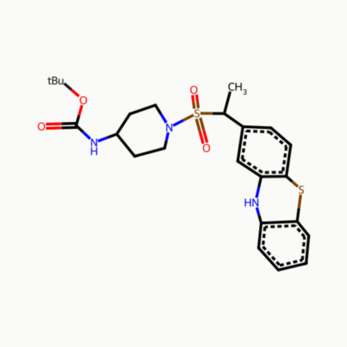 CC(c1ccc2c(c1)Nc1ccccc1S2)S(=O)(=O)N1CCC(NC(=O)OC(C)(C)C)CC1